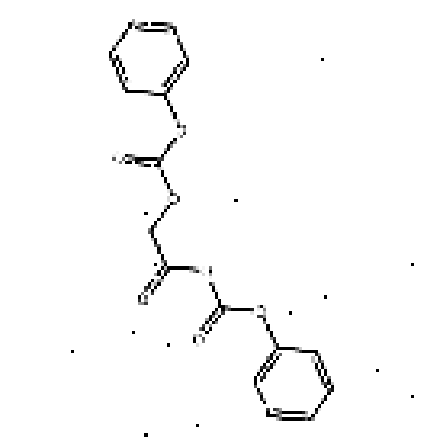 O=C(COC(=O)Oc1ccccc1)OC(=O)Oc1ccccc1